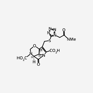 CNC(=O)Cn1nnnc1SCC1=C(C(=O)O)N2C(=O)[C@@H]3[C@H]2C1OCN3C(=O)O